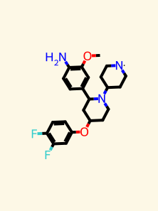 COc1cc(C2CC(Oc3ccc(F)c(F)c3)CCN2C2CC[N]CC2)ccc1N